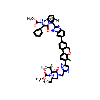 C=CCCN(Cc1ncc(-c2ccc3c(c2F)OCc2cc(-c4ccc5nc(C6[C@H]7CC[C@H](C7)N6C(=O)[C@H](NC(=O)OC)c6ccccc6)[nH]c5c4)ccc2-3)[nH]1)C(=O)C(NC(=O)OC)C(C)C